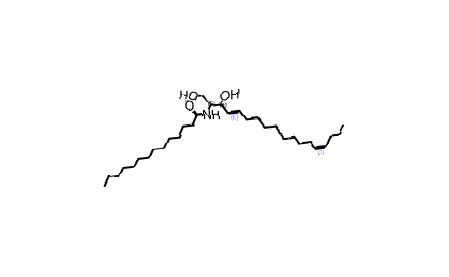 CCC/C=C\CCCCCCCC/C=C/[C@@H](O)[C@H](CO)NC(=O)CCCCCCCCCCCCC